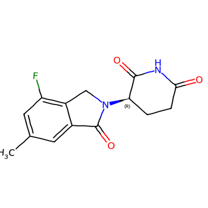 Cc1cc(F)c2c(c1)C(=O)N([C@@H]1CCC(=O)NC1=O)C2